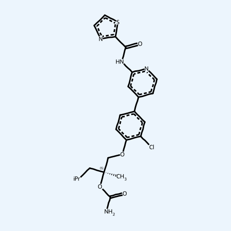 CC(C)C[C@@](C)(COc1ccc(-c2ccnc(NC(=O)c3nccs3)c2)cc1Cl)OC(N)=O